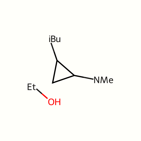 CCC(C)C1CC1NC.CCO